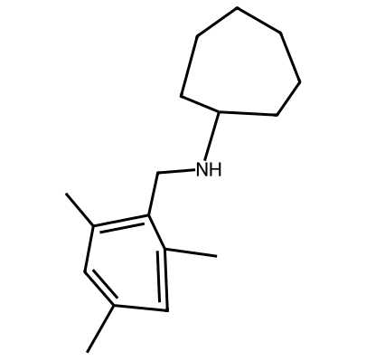 Cc1cc(C)c(CNC2CCCCCC2)c(C)c1